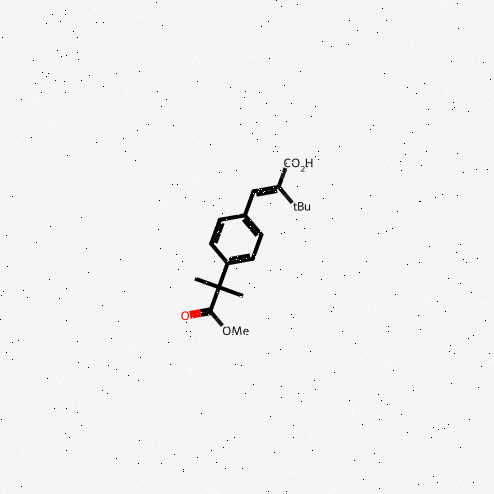 COC(=O)C(C)(C)c1ccc(/C=C(/C(=O)O)C(C)(C)C)cc1